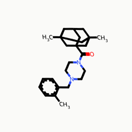 Cc1ccccc1CN1CCN(C(=O)C23CC4CC(C)(CC(C)(C4)C2)C3)CC1